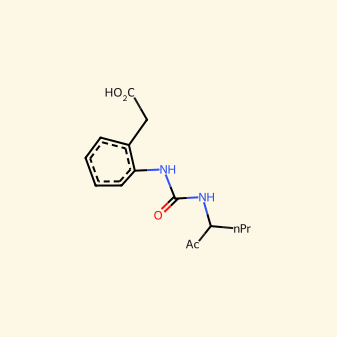 CCCC(NC(=O)Nc1ccccc1CC(=O)O)C(C)=O